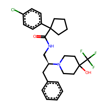 O=C(NC[C@H](Cc1ccccc1)N1CCC(O)(C(F)(F)F)CC1)C1(c2ccc(Cl)cc2)CCCC1